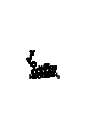 CN(C)CCCN(C)Cc1cccc(-c2ccc(O)c3c2C[C@H]2C[C@H]4C(N(C)C)C(O)=C(C(N)=O)C(=O)[C@@]4(O)C(O)=C2C3=O)c1